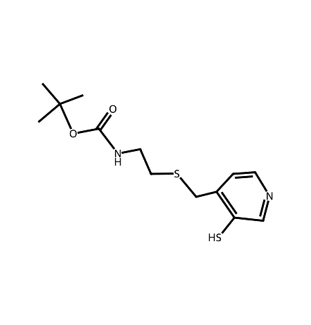 CC(C)(C)OC(=O)NCCSCc1ccncc1S